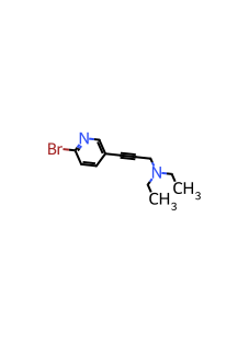 CCN(CC)CC#Cc1ccc(Br)nc1